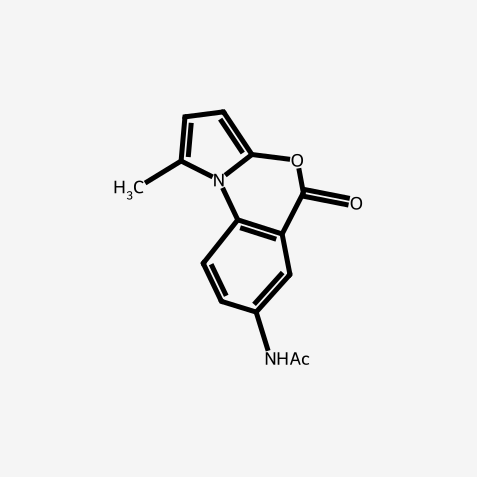 CC(=O)Nc1ccc2c(c1)c(=O)oc1ccc(C)n12